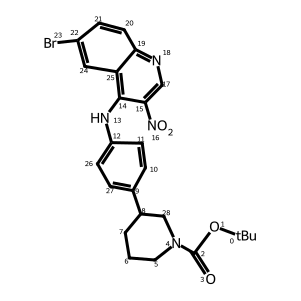 CC(C)(C)OC(=O)N1CCCC(c2ccc(Nc3c([N+](=O)[O-])cnc4ccc(Br)cc34)cc2)C1